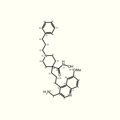 COc1ccc2ncc(CN)c(CCCC3(C(=O)NO)CCN(CCCc4ccccc4)CC3)c2c1